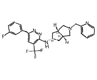 Fc1cccc(-c2cc(C(F)(F)F)c(N[C@@H]3C[C@@H]4CN(Cc5ccccn5)C[C@@H]4C3)nn2)c1